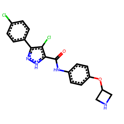 O=C(Nc1ccc(OC2CNC2)cc1)c1[nH]nc(-c2ccc(Cl)cc2)c1Cl